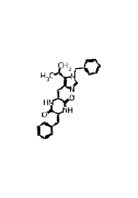 CC(C)c1c(C=c2[nH]c(=O)c(=Cc3ccccc3)[nH]c2=O)ncn1Cc1ccccc1